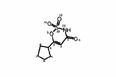 O=C1C=C(C2CCCC2)OS(=O)(=O)N1